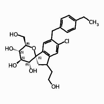 CCc1ccc(Cc2cc3c(cc2Cl)C(CCO)C[C@]32O[C@H](CO)[C@@H](O)[C@H](O)[C@H]2O)cc1